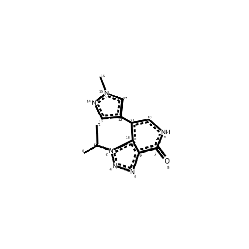 CC(C)n1nnc2c(=O)[nH]cc(-c3cnn(C)c3)c21